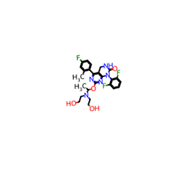 Cc1cc(F)ccc1-c1nc(OC(C)N(CCO)CCO)nc2c1CNC(=O)N2c1c(F)cccc1F